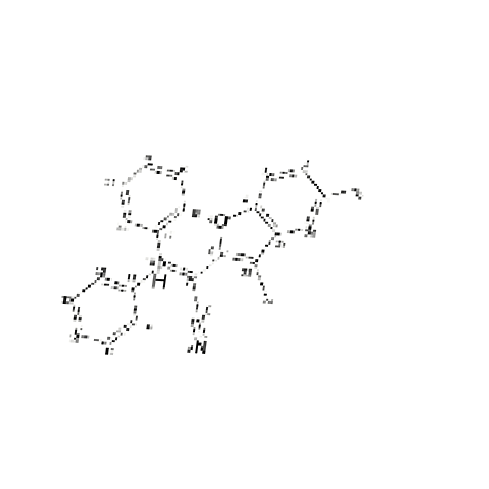 Cc1ccc2oc(C(C#N)=[PH](c3ccccc3)c3ccccc3)c(C)c2c1